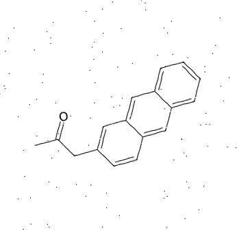 CC(=O)Cc1ccc2cc3ccccc3cc2c1